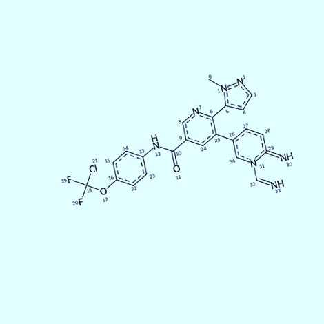 Cn1nccc1-c1ncc(C(=O)Nc2ccc(OC(F)(F)Cl)cc2)cc1-c1ccc(=N)n(C=N)c1